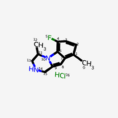 Cc1ccc(F)c2c1cc1n2C(C)CNC1.Cl